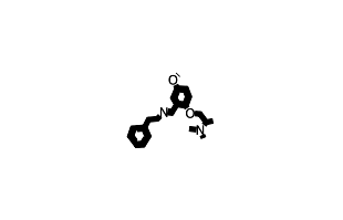 COc1ccc(OCC(C)N(C)C)c(C=NCCc2ccccc2)c1